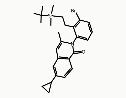 Cc1cc2cc(C3CC3)ccc2c(=O)n1-c1cccc(Br)c1CC[Si](C)(C)C(C)(C)C